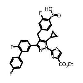 CCOC(=O)c1csc(-n2nc(-c3ccc(F)c(-c4ccc(F)cc4)c3)c(Cc3ccc(S(=O)O)c(F)c3)c2C2CC2)n1